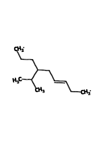 [CH2]CC=CCC(CC[CH2])C(C)C